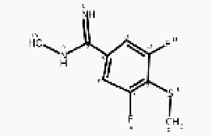 CSc1c(F)cc(C(=N)NO)cc1F